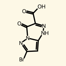 O=C(O)c1n[nH]c2cc(Br)nn2c1=O